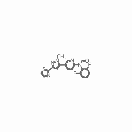 Cn1nc(-c2nccs2)cc1-c1ccc(N(C=O)c2c(F)cccc2F)nc1